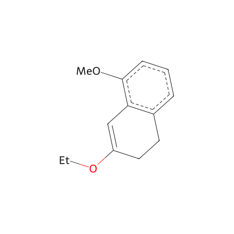 CCOC1=Cc2c(cccc2OC)CC1